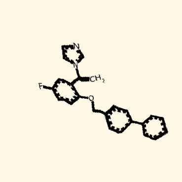 C=C(c1cc(F)ccc1OCc1ccc(-c2ccccc2)cc1)n1ccnc1